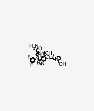 COc1cc2c(N(c3cc(F)cc(F)c3)c3cc(CC(N)=O)[nH]n3)ncnc2cc1OCCCN1CCC[C@H]1CO